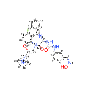 O=C(Nc1cccc(/C=N\O)c1)NC1N=C(c2ccccc2F)c2ccccc2N(CC(=O)N2CC3CCC(CC3)C2)C1=O